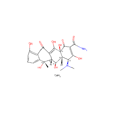 CN(C)[C@@H]1C(O)=C(C(N)=O)C(=O)[C@@]2(O)C(O)=C3C(=O)c4c(O)cccc4[C@@](C)(O)[C@H]3[C@H](O)[C@@H]12.[CaH2]